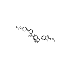 Cc1nc2ccc(-c3c[nH]c4nc(Nc5cccc(N6CCN(C)CC6)c5)ncc34)cc2s1